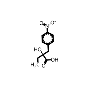 CC[C@](O)(Cc1ccc([N+](=O)[O-])cc1)C(=O)O